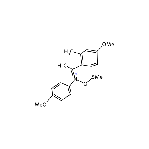 COc1ccc(/[N+](OSC)=C(\C)c2ccc(OC)cc2C)cc1